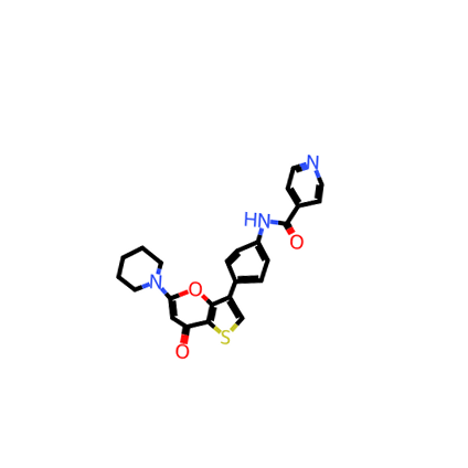 O=C(Nc1ccc(-c2csc3c(=O)cc(N4CCCCC4)oc23)cc1)c1ccncc1